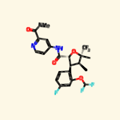 CNC(=O)c1cc(NC(=O)[C@@H]2O[C@](C)(C(F)(F)F)[C@@H](C)[C@H]2c2ccc(F)cc2OC(F)F)ccn1